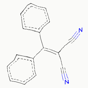 N#CC(C#N)=C(c1ccccc1)c1ccccc1